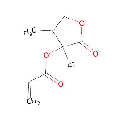 C=CC(=O)OC1(CC)C(=O)OCC1C